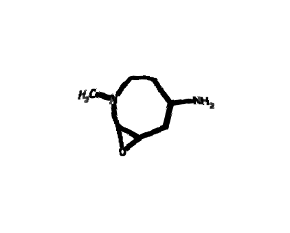 CN1CCC(N)CC2OC21